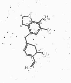 C=CC1=CC=C(Cc2cc(Br)c(C)c3c2CCO3)CC1C